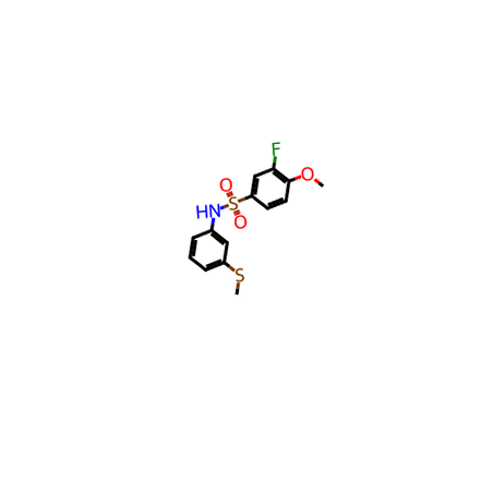 COc1ccc(S(=O)(=O)Nc2cccc(SC)c2)cc1F